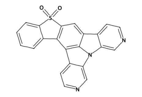 O=S1(=O)c2ccccc2-c2c1cc1c3ccncc3n3c4cnccc4c2c13